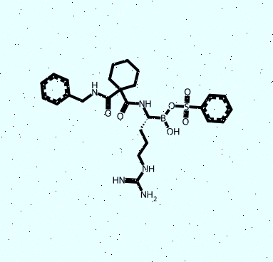 N=C(N)NCCC[C@H](NC(=O)C1(C(=O)NCc2ccccc2)CCCCC1)B(O)OS(=O)(=O)c1ccccc1